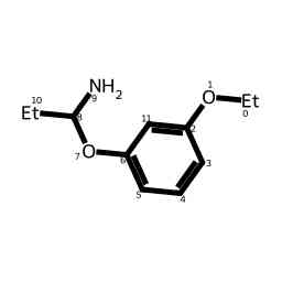 CCOc1cccc(OC(N)CC)c1